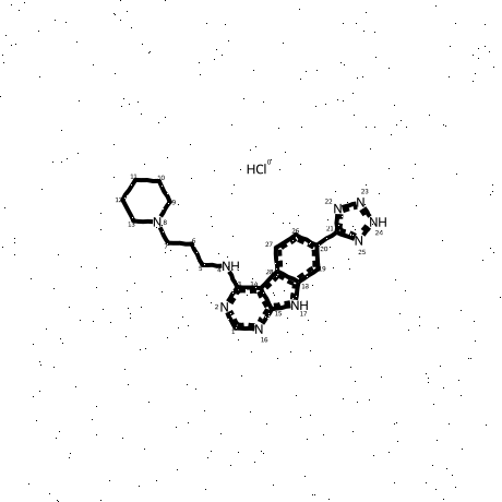 Cl.c1nc(NCCCN2CCCCC2)c2c(n1)[nH]c1cc(-c3nn[nH]n3)ccc12